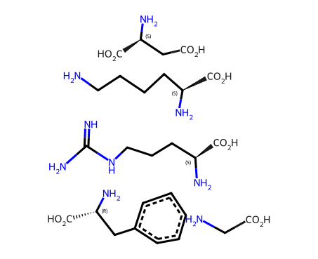 N=C(N)NCCC[C@H](N)C(=O)O.NCC(=O)O.NCCCC[C@H](N)C(=O)O.N[C@@H](CC(=O)O)C(=O)O.N[C@H](Cc1ccccc1)C(=O)O